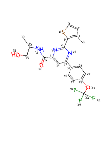 Cc1ccsc1-c1nc(C(=O)NC(C)CO)cc(-c2ccc(OC(F)(F)F)cc2)n1